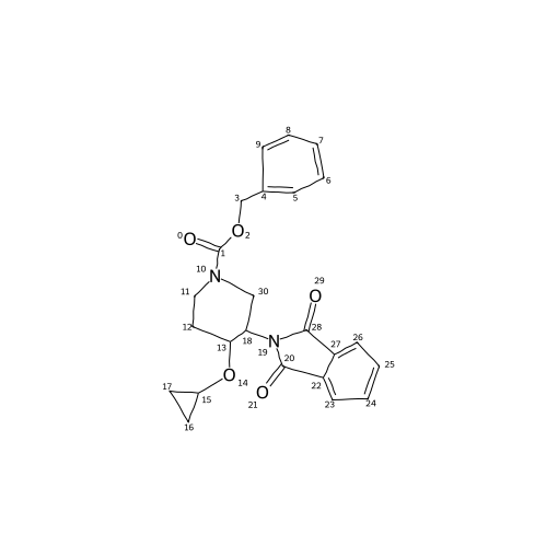 O=C(OCc1ccccc1)N1CCC(OC2CC2)C(N2C(=O)c3ccccc3C2=O)C1